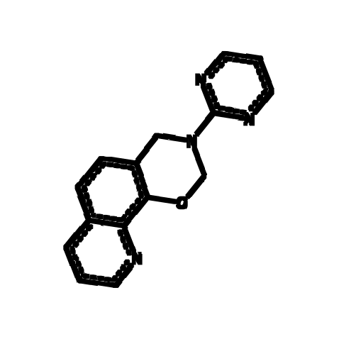 c1cnc(N2COc3c(ccc4cccnc34)C2)nc1